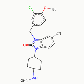 CCOc1ccc(Cn2c(=O)n(C3CCC(NC=O)CC3)c3ccc(C#N)cc32)cc1Cl